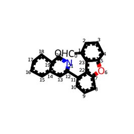 O=Cc1cccc2oc3cccc(-c4cc5ccccc5cn4)c3c12